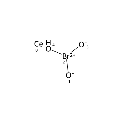 [Ce].[O-][Br+2]([O-])O